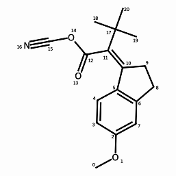 COc1ccc2c(c1)CCC2=C(C(=O)OC#N)C(C)(C)C